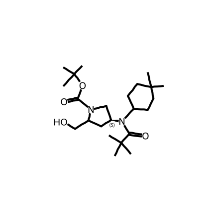 CC1(C)CCC(N(C(=O)C(C)(C)C)[C@H]2CC(CO)N(C(=O)OC(C)(C)C)C2)CC1